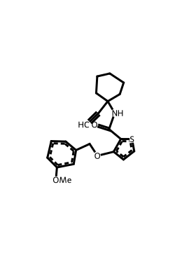 C#CC1(NC(=O)c2sccc2OCc2cccc(OC)c2)CCCCC1